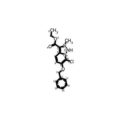 CCOC(=O)C1=C2C=CC(OCc3ccccc3)=C(Cl)N2NN1C